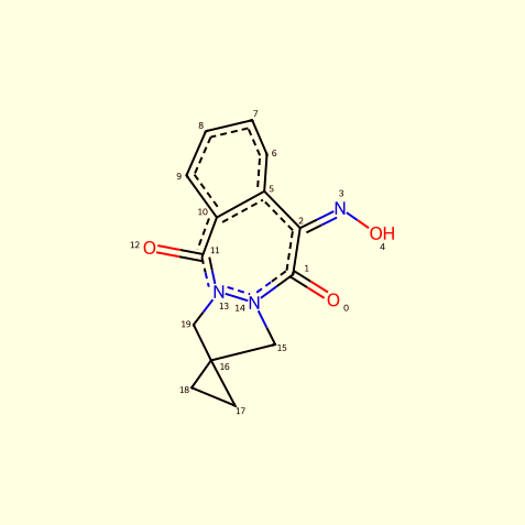 O=c1/c(=N\O)c2ccccc2c(=O)n2n1CC1(CC1)C2